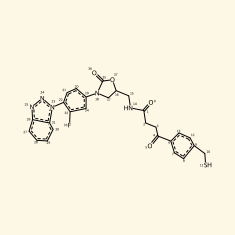 O=C(CCC(=O)c1ccc(CS)cc1)NCC1CN(c2ccc(-n3nnc4ccccc43)c(F)c2)C(=O)O1